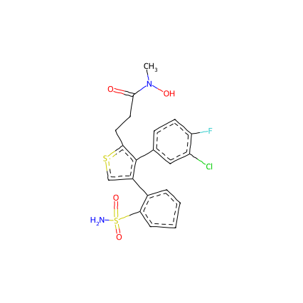 CN(O)C(=O)CCc1scc(-c2ccccc2S(N)(=O)=O)c1-c1ccc(F)c(Cl)c1